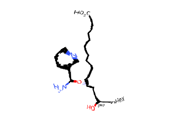 CCCCCC[C@@H](O)C/C=C\CCCCCCCC(=O)O.NC(=O)c1cccnc1